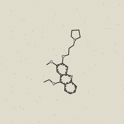 CCOc1c2ccccc2nc2cc(OCCCN3CCCC3)c(OC)cc12